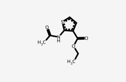 CCOC(=O)c1ccsc1NC(C)=O